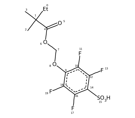 CCC(C)(C)C(=O)OCOc1c(F)c(F)c(S(=O)(=O)O)c(F)c1F